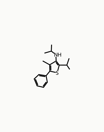 Cc1c(-c2ccccc2)sc(C(C)C)c1NC(C)C